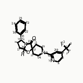 CC(F)(F)c1ccnc(N2CCC3(CC2)O[C@@H]2CC[C@@H](c4ccccc4)N2C3=O)c1